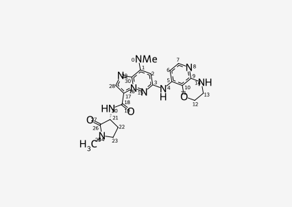 CNc1cc(Nc2ccnc3c2OCCN3)nn2c(C(=O)N[C@@H]3CCN(C)C3=O)cnc12